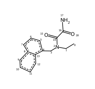 CCN(Cc1cccc2ccccc12)C(=O)C(N)=O